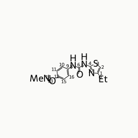 CCc1csc(NC(=O)Nc2ccc(ONC)cc2)n1